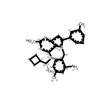 Cc1cccc(-c2cc3nc(C(=O)O)nc(N[C@H](C)C4CCC4)c3n2Cc2ccc(C(F)(F)F)cc2N)c1